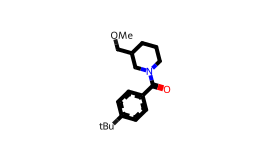 COCC1CCCN(C(=O)c2ccc(C(C)(C)C)cc2)C1